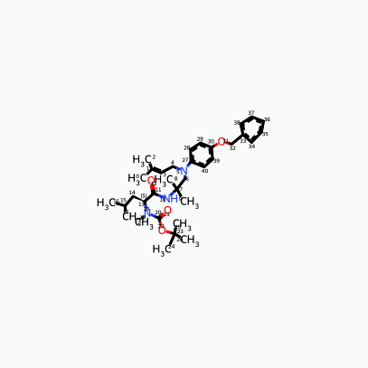 CC(C)=CCN(CC(C)(C)NC(=O)[C@H](CC(C)C)N(C)C(=O)OC(C)(C)C)c1ccc(OCc2ccccc2)cc1